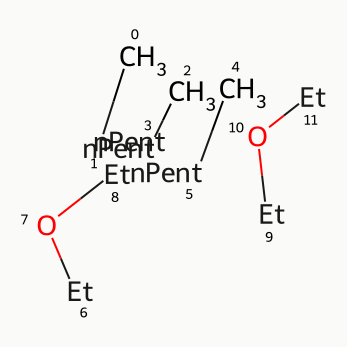 CCCCCC.CCCCCC.CCCCCC.CCOCC.CCOCC